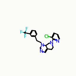 FC(F)(F)c1cccc(CCN2C=NC=C3CCN(c4ncccc4Cl)CC32)c1